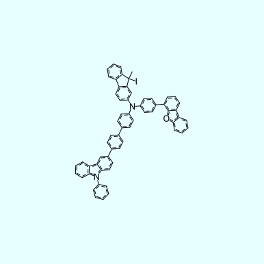 CC1(I)c2ccccc2-c2ccc(N(c3ccc(-c4ccc(-c5ccc6c(c5)c5ccccc5n6-c5ccccc5)cc4)cc3)c3ccc(-c4cccc5c4oc4ccccc45)cc3)cc21